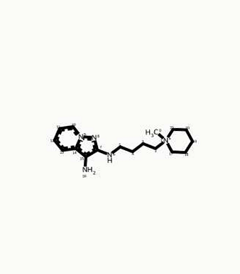 C[N+]1(CCCCNc2nn3ccccc3c2N)CCCCC1